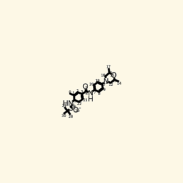 CC1=CC(C(=O)Nc2ccc(N3CC(C)OC(C)C3)cc2)=CCC1N[S+]([O-])C(C)(C)C